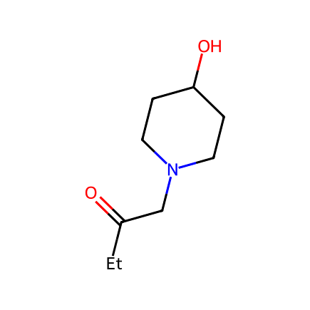 CCC(=O)CN1CCC(O)CC1